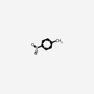 Cc1c[c]c([SH](=O)=O)cc1